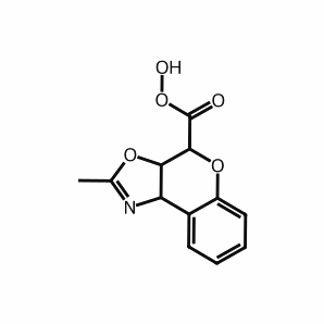 CC1=NC2c3ccccc3OC(C(=O)OO)C2O1